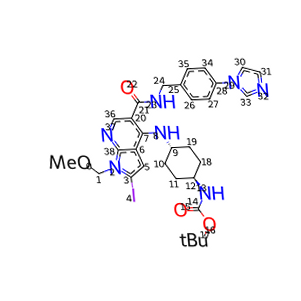 COCn1c(I)cc2c(N[C@H]3CC[C@H](NC(=O)OC(C)(C)C)CC3)c(C(=O)NCc3ccc(-n4ccnc4)cc3)cnc21